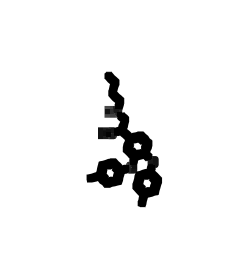 CCCCNCC(O)c1ccc(Oc2ccc(C)cc2)c(Oc2ccc(C)cc2)c1